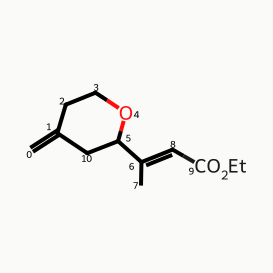 C=C1CCOC(C(C)=CC(=O)OCC)C1